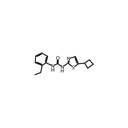 CCc1ccccc1NC(=O)Nc1ncc(C2CCC2)s1